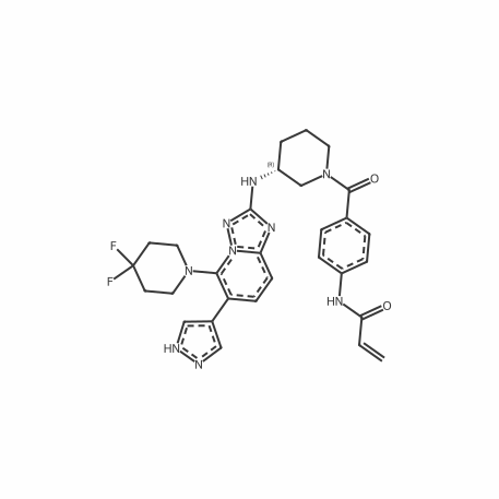 C=CC(=O)Nc1ccc(C(=O)N2CCC[C@@H](Nc3nc4ccc(-c5cn[nH]c5)c(N5CCC(F)(F)CC5)n4n3)C2)cc1